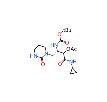 CC(=O)OC(C(=O)NC1CC1)[C@H](CN1CCCNC1=O)NC(=O)OC(C)(C)C